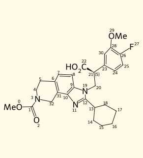 COC(=O)N1CCc2ccc3c(nc(C4CCCCC4)n3C[C@@H](C(=O)O)c3ccc(F)c(OC)c3)c2C1